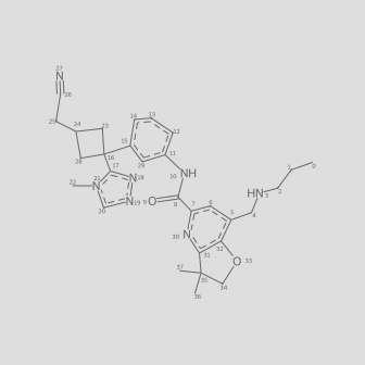 CCCNCc1cc(C(=O)Nc2cccc(C3(c4nncn4C)CC(CC#N)C3)c2)nc2c1OCC2(C)C